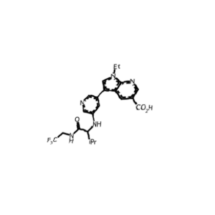 CCn1cc(-c2cncc(NC(C(=O)NCC(F)(F)F)C(C)C)c2)c2cc(C(=O)O)cnc21